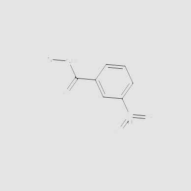 NNC(=O)c1cccc([SH](=O)=O)c1